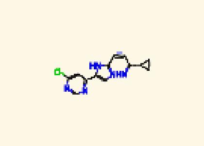 N=C(/C=C\c1ncc(-c2cc(Cl)ncn2)[nH]1)C1CC1